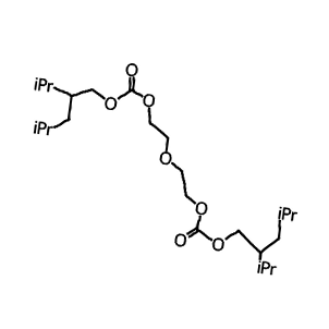 CC(C)CC(COC(=O)OCCOCCOC(=O)OCC(CC(C)C)C(C)C)C(C)C